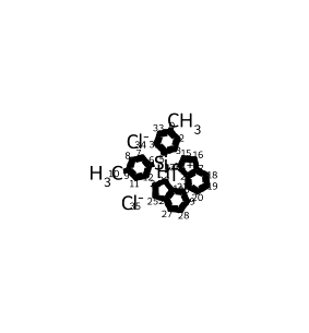 Cc1ccc([Si](c2ccc(C)cc2)=[Hf+2]([CH]2C=Cc3ccccc32)[CH]2C=Cc3ccccc32)cc1.[Cl-].[Cl-]